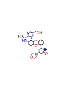 CC(Nc1ccc2c(c1)Cc1cccc(-c3cc(N4CCOCC4)cc(=O)[nH]3)c1O2)c1ncc(CO)cn1